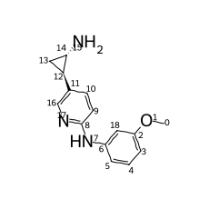 COc1cccc(Nc2ccc([C@H]3C[C@@H]3N)cn2)c1